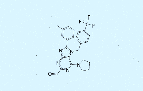 Cc1cccc(-c2nc3nc(C=O)nc(N4CCCC4)c3n2Cc2ccc(C(F)(F)F)cc2)c1